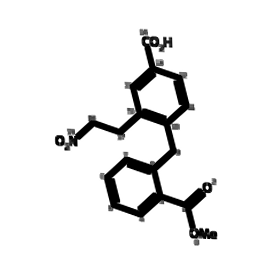 COC(=O)c1ccccc1Cc1ccc(C(=O)O)cc1CC[N+](=O)[O-]